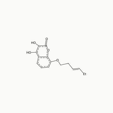 CCC=CCCOc1cccc2c(O)c(O)c(=O)oc12